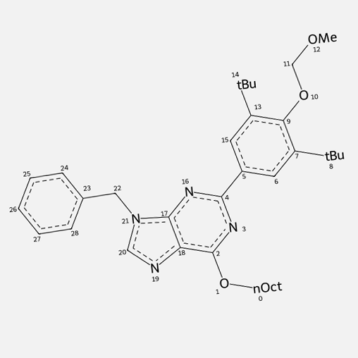 CCCCCCCCOc1nc(-c2cc(C(C)(C)C)c(OCOC)c(C(C)(C)C)c2)nc2c1ncn2Cc1ccccc1